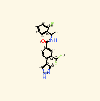 CC(NC(=O)c1ccc(-c2cn[nH]c2)c(C(F)F)c1)c1ccccc1F